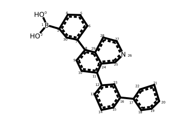 OB(O)c1cccc(-c2ccc(-c3cccc(-c4ccccc4)c3)c3cnccc23)c1